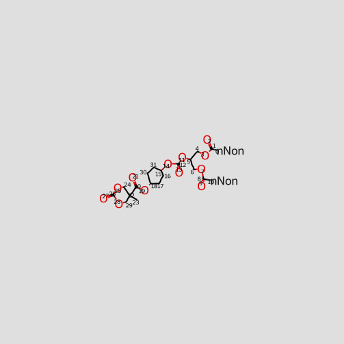 CCCCCCCCCC(=O)OCC(COC(=O)CCCCCCCCC)OC(=O)O[C@H]1CC[C@H](OC(=O)C2(C)COC(=O)OC2)CC1